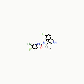 CC(C1=CNCc2ccc(F)cc21)N(C)C(=O)Nc1ccc(F)c(Cl)c1